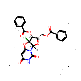 O=C(OC[C@@H]1O[C@@H]2n3c(cc(=O)[nH]c3=O)OC2(Cl)[C@@H]1OC(=O)c1ccccc1)c1ccccc1